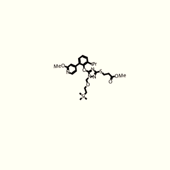 COC(=O)CCSc1nc(Oc2c(-c3ccnc(OC)c3)cccc2C(C)C)n(COCC[Si](C)(C)C)n1